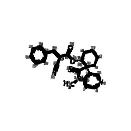 CNC(=S)[C@]1(c2cccnc2)CCCC[C@H]1OC(=O)C(C#N)=Cc1ccccc1